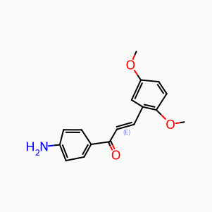 COc1ccc(OC)c(/C=C/C(=O)c2ccc(N)cc2)c1